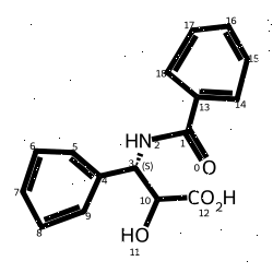 O=C(N[C@@H](c1ccccc1)C(O)C(=O)O)c1ccccc1